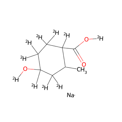 [2H]OC(=O)C1([2H])C(C)C([2H])([2H])C([2H])(O[2H])C([2H])([2H])C1([2H])[2H].[Na]